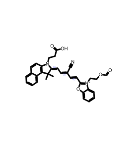 CC1(C)\C(=C/C=C(C#N)/C=C/c2oc3ccccc3[n+]2CCOC=O)N(CCC(=O)O)c2ccc3ccccc3c21